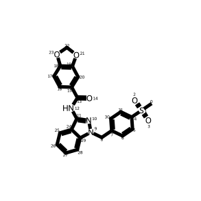 CS(=O)(=O)c1ccc(Cn2nc(NC(=O)c3ccc4c(c3)OCO4)c3ccccc32)cc1